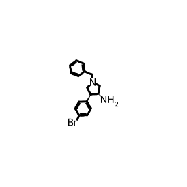 N[C@H]1CN(Cc2ccccc2)C[C@@H]1c1ccc(Br)cc1